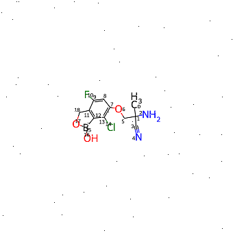 CC(N)(C#N)COc1cc(F)c2c(c1Cl)B(O)OC2